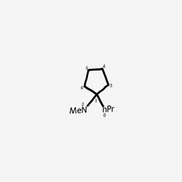 CCCC1(NC)CCCC1